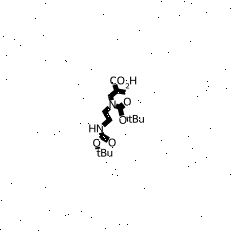 CC(CN(CCNC(=O)OC(C)(C)C)C(=O)OC(C)(C)C)C(=O)O